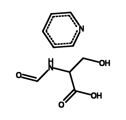 O=CNC(CO)C(=O)O.c1ccncc1